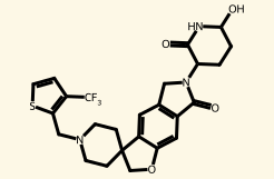 O=C1NC(O)CCC1N1Cc2cc3c(cc2C1=O)OCC31CCN(Cc2sccc2C(F)(F)F)CC1